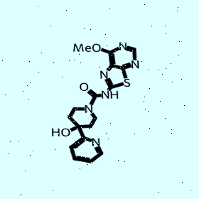 COc1ncnc2sc(NC(=O)N3CCC(O)(c4ccccn4)CC3)nc12